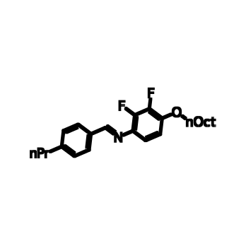 CCCCCCCCOc1ccc(N=Cc2ccc(CCC)cc2)c(F)c1F